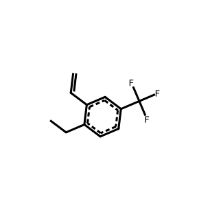 C=Cc1cc(C(F)(F)F)ccc1CC